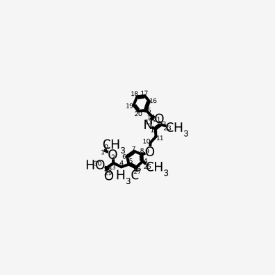 CCOC(Cc1ccc(OCCc2nc(-c3ccccc3)oc2C)c(C)c1C)C(=O)O